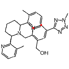 Cc1cccnc1C1CCCC(c2ncccc2C)N1Cc1ccc(-c2nnn(C)n2)cc1CO